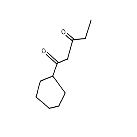 CCC(=O)CC(=O)C1CCCCC1